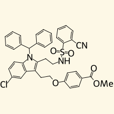 COC(=O)c1ccc(OCCc2c(CCNS(=O)(=O)c3ccccc3C#N)n(C(c3ccccc3)c3ccccc3)c3ccc(Cl)cc23)cc1